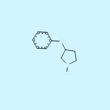 O=C(O)N1CCC(Nc2ccccc2)C1